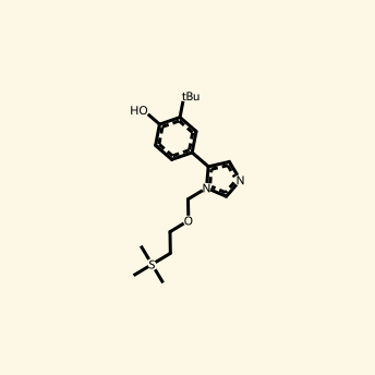 CC(C)(C)c1cc(-c2cncn2COCCS(C)(C)C)ccc1O